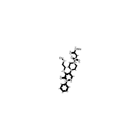 CCOCCOc1c(N2CCN(S(=O)(=O)CC(=O)OC)CC2)cnn(-c2ccccc2)c1=O